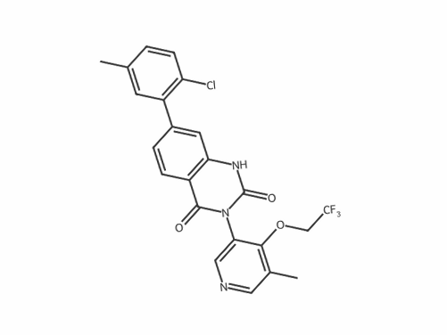 Cc1ccc(Cl)c(-c2ccc3c(=O)n(-c4cncc(C)c4OCC(F)(F)F)c(=O)[nH]c3c2)c1